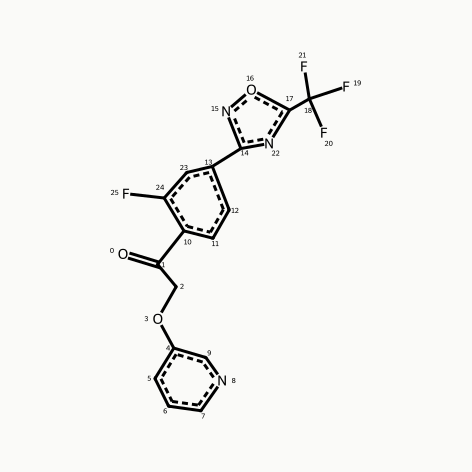 O=C(COc1cccnc1)c1ccc(-c2noc(C(F)(F)F)n2)cc1F